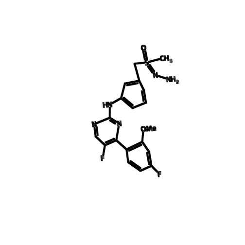 COc1cc(F)ccc1-c1nc(Nc2cccc(CS(C)(=O)=NN)c2)ncc1F